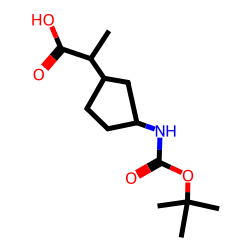 CC(C(=O)O)C1CCC(NC(=O)OC(C)(C)C)C1